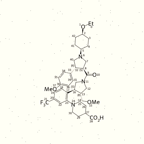 CCO[C@H]1CC[C@@H](N2C[C@@H](C(=O)N3C[C@H](COC)[C@@H](c4ccc(C(F)(F)F)cc4N4CCC(C(=O)O)CC4)C3)[C@H](c3ccc(OC)cc3)C2)CC1